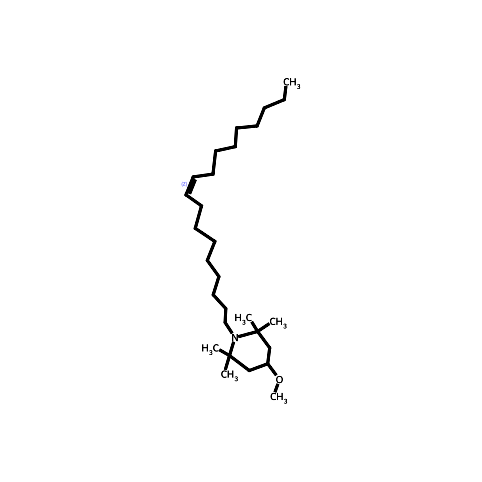 CCCCCCCC/C=C\CCCCCCCCN1C(C)(C)CC(OC)CC1(C)C